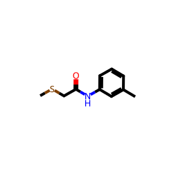 CSCC(=O)Nc1cccc(C)c1